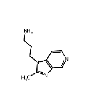 Cc1nc2cnccc2n1CCCN